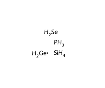 P.[GeH2].[SeH2].[SiH4]